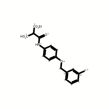 CCOC(=O)C(C(=O)O)C(=O)Nc1ccc(OCc2cccc(F)c2)cc1